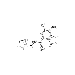 Cl.Nc1c(Cl)cc(C(=O)NC[C@H]2CCCN2)c2c1CCO2